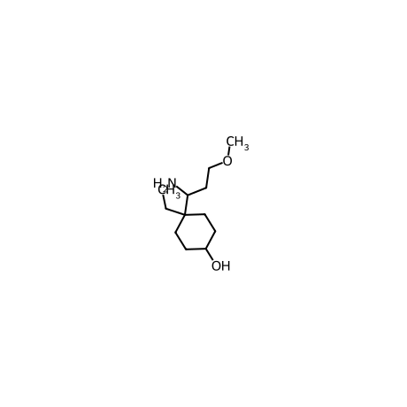 CCC1(C(N)CCOC)CCC(O)CC1